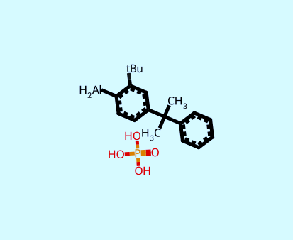 CC(C)(C)c1cc(C(C)(C)c2ccccc2)cc[c]1[AlH2].O=P(O)(O)O